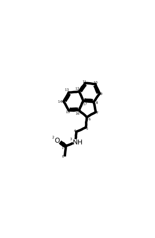 CC(=O)NCCC1Cc2cccc3cccc1c23